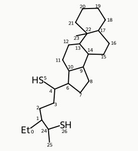 CCC(CCC(S)C1CCC2C1CCC1C2CCC2CCCCC21C)C(C)S